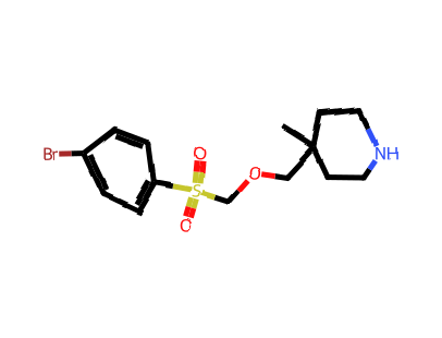 CC1(COCS(=O)(=O)c2ccc(Br)cc2)CCNCC1